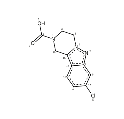 O=C(O)N1CCn2nc3cc(Cl)ccc3c2C1